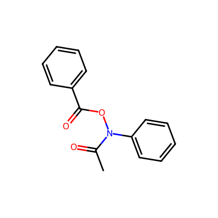 CC(=O)N(OC(=O)c1ccccc1)c1ccccc1